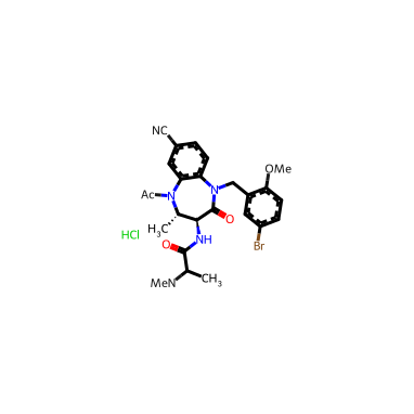 CNC(C)C(=O)N[C@@H]1C(=O)N(Cc2cc(Br)ccc2OC)c2ccc(C#N)cc2N(C(C)=O)[C@H]1C.Cl